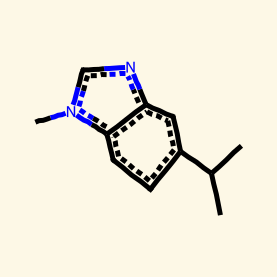 CC(C)c1ccc2c(c1)ncn2C